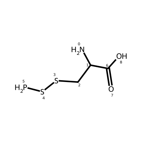 NC(CSSP)C(=O)O